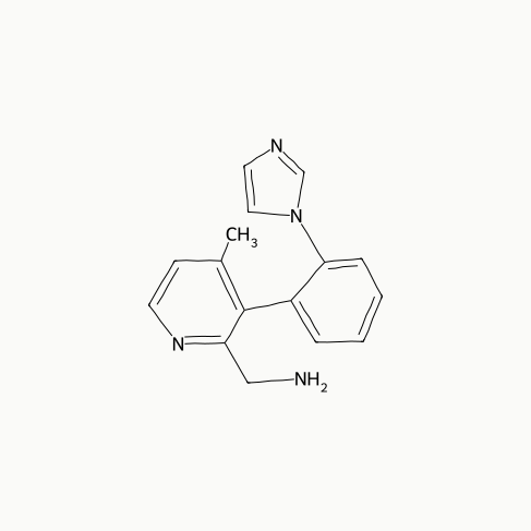 Cc1ccnc(CN)c1-c1ccccc1-n1ccnc1